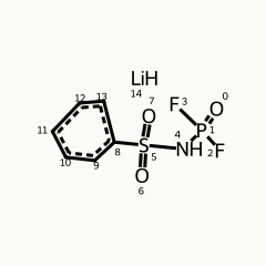 O=P(F)(F)NS(=O)(=O)c1ccccc1.[LiH]